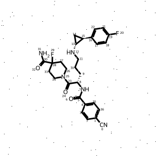 N#Cc1ccc(C(=O)N[C@@H](CCCN[C@@H]2C[C@H]2c2ccc(F)cc2)C(=O)N2CCC(F)(C(N)=O)CC2)cc1